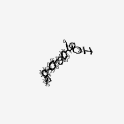 CC#CC(CC(=O)O)c1ccc(OCc2ccc(-c3cccc(OCC)c3)cc2)cc1